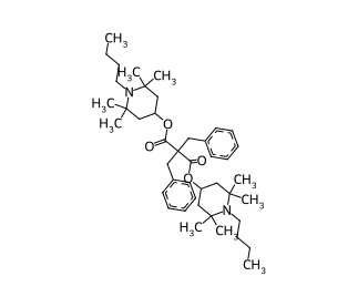 CCCCN1C(C)(C)CC(OC(=O)C(Cc2ccccc2)(Cc2ccccc2)C(=O)OC2CC(C)(C)N(CCCC)C(C)(C)C2)CC1(C)C